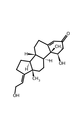 C[C@@]12C(=CC(=O)C[C@H]1O)CC[C@@H]1[C@@H]2CC[C@]2(C)C(=CCO)CC[C@@H]12